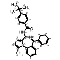 Cc1nnc2n1-c1ccccc1C(C1=CC=CCC1)=NC2NC(=O)c1ccc(C(C)(C)C)cc1